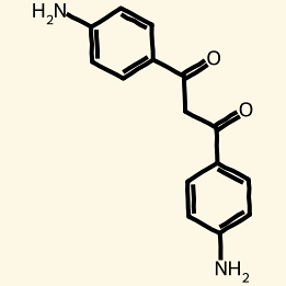 Nc1ccc(C(=O)CC(=O)c2ccc(N)cc2)cc1